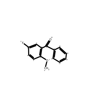 COc1ccc(F)cc1C(=O)c1ccccc1